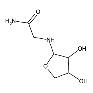 NC(=O)CNC1OCC(O)C1O